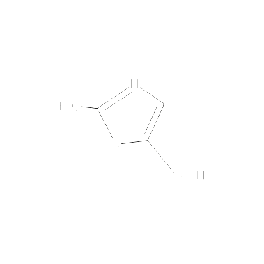 O=S(=O)(O)c1cnc(C(F)(F)F)s1